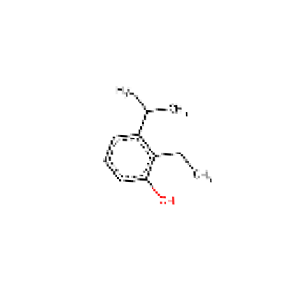 CCc1c(O)cccc1[C](C)C